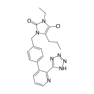 CCCc1c(Cl)n(CC)c(=O)n1Cc1ccc(-c2cccnc2-c2nnn[nH]2)cc1